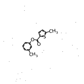 Cc1cccc(OC(=O)c2ccc(C)s2)c1